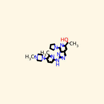 Cc1nc(Nc2ncc3cc([C@@H](C)O)nc(N4CCCC4)c3n2)ccc1N1CCN(C)CC1